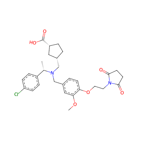 COc1cc(CN(C[C@H]2CC[C@@H](C(=O)O)C2)[C@@H](C)c2ccc(Cl)cc2)ccc1OCCN1C(=O)CCC1=O